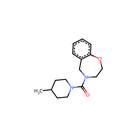 CC1CCN(C(=O)N2CCOc3cc[c]cc3C2)CC1